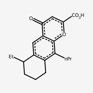 CCCc1c2c(cc3c(=O)cc(C(=O)O)oc13)C(CC)CCC2